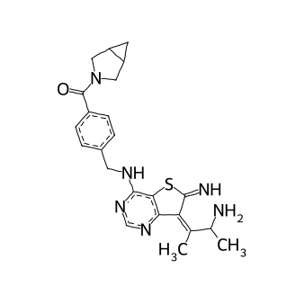 C/C(=C1/C(=N)Sc2c(NCc3ccc(C(=O)N4CC5CC5C4)cc3)ncnc21)C(C)N